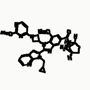 COc1nccc(N2CC(n3c(-c4cc5cccnc5n4CC4CC4)nc4cc(C(=O)N5C[C@H]6CC[C@@H]5[C@@H]6N)cc(OC)c43)C2)n1